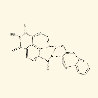 CCCCN1C(=O)c2ccc3c(=O)n4c5nc6ccccc6nc5nc4c4ccc(c2c34)C1=O